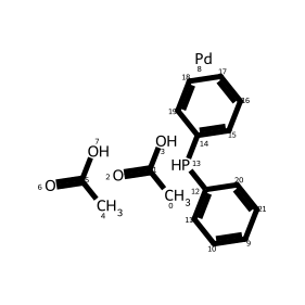 CC(=O)O.CC(=O)O.[Pd].c1ccc(Pc2ccccc2)cc1